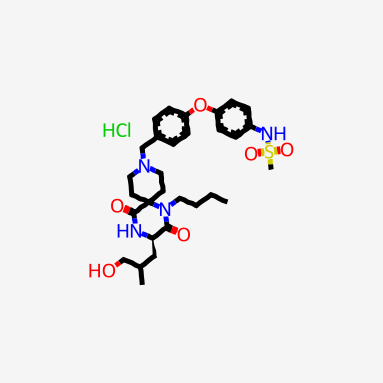 CCCCN1C(=O)[C@@H](CC(C)CO)NC(=O)C12CCN(Cc1ccc(Oc3ccc(NS(C)(=O)=O)cc3)cc1)CC2.Cl